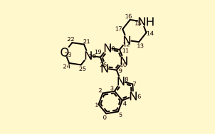 c1ccc2c(c1)ncn2-c1nc(N2CCNCC2)nc(N2CCOCC2)n1